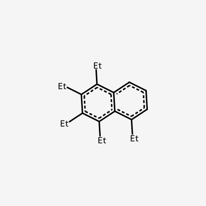 CCc1c(CC)c(CC)c2c(CC)cccc2c1CC